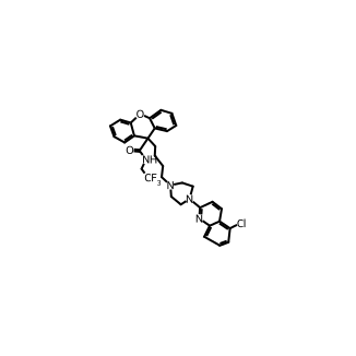 O=C(NCC(F)(F)F)C1(CCCCN2CCN(c3ccc4c(Cl)cccc4n3)CC2)c2ccccc2Oc2ccccc21